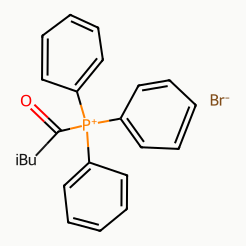 CCC(C)C(=O)[P+](c1ccccc1)(c1ccccc1)c1ccccc1.[Br-]